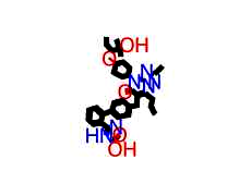 CCCc1c(Cc2ccc(-c3ccccc3C3=NOC(O)N3)cc2)c(=O)n([C@H]2CC[C@H](OC(CC)C(C)(C)O)CC2)c2nc(C)nn12